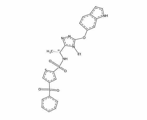 CCn1c(Oc2ccc3cc[nH]c3c2)nnc1[C@@H](C)NS(=O)(=O)c1cc(S(=O)(=O)c2ccccc2)cs1